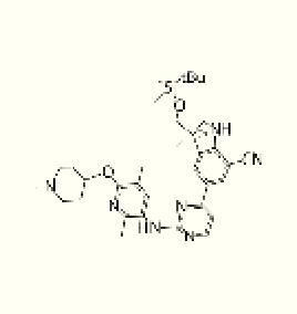 Cc1cc(Nc2nccc(-c3cc(C#N)c4c(c3)[C@@](C)(CO[Si](C)(C)C(C)(C)C)CN4)n2)c(C)nc1OC1CCN(C)CC1